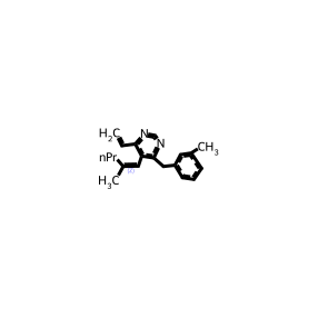 C=Cc1ncnc(Cc2cccc(C)c2)c1/C=C(/C)CCC